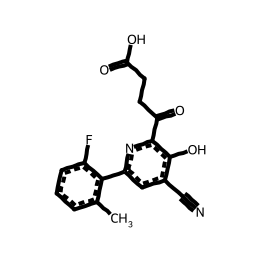 Cc1cccc(F)c1-c1cc(C#N)c(O)c(C(=O)CCC(=O)O)n1